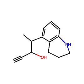 C#CC(O)C(C)c1cccc2c1CCCN2